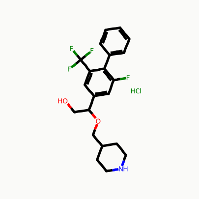 Cl.OCC(OCC1CCNCC1)c1cc(F)c(-c2ccccc2)c(C(F)(F)F)c1